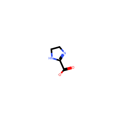 [O]C(=O)C1=NCCN1